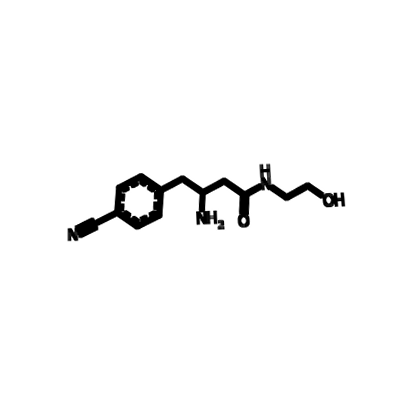 N#Cc1ccc(CC(N)CC(=O)NCCO)cc1